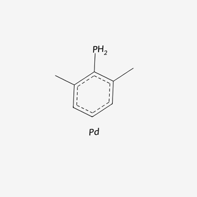 Cc1cccc(C)c1P.[Pd]